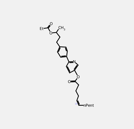 CCCCC/C=C\CCCC(=O)Oc1ccc(-c2ccc(CCC(C)OC(=O)CC)cc2)nc1